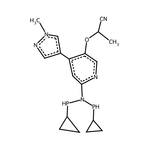 CC(C#N)Oc1cnc(N(PC2CC2)PC2CC2)cc1-c1cnn(C)c1